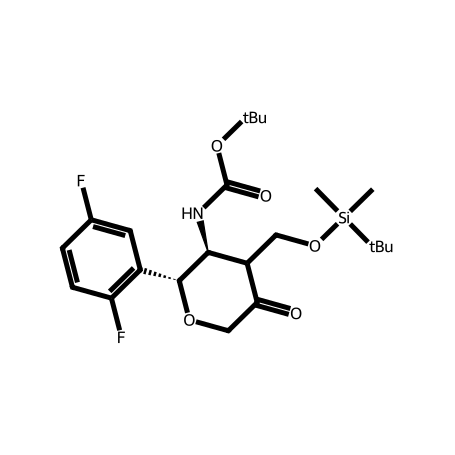 CC(C)(C)OC(=O)N[C@H]1C(CO[Si](C)(C)C(C)(C)C)C(=O)CO[C@@H]1c1cc(F)ccc1F